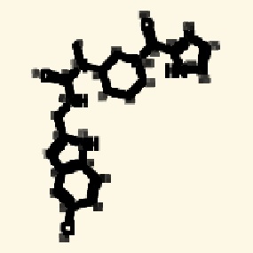 CN(C(=O)NCc1cc2cc(Cl)ccc2[nH]1)[C@@H]1CCCN(C(=O)c2ncn[nH]2)C1